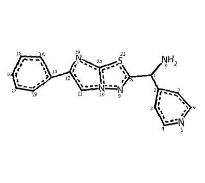 NC(c1ccncc1)c1nn2cc(-c3ccccc3)nc2s1